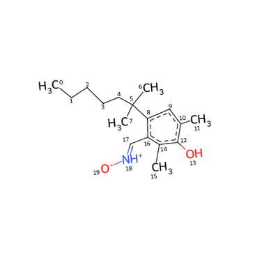 CCCCCC(C)(C)c1cc(C)c(O)c(C)c1C=[NH+][O-]